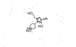 CCCc1cn(CCO)c(C2CCNCC2)n1.Cl.Cl